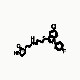 O=C1NCCN1CCNCCCSc1cn(-c2ccc(F)cc2)c2ccc(Cl)cc12